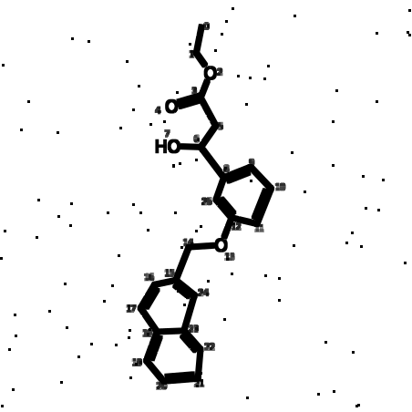 CCOC(=O)CC(O)c1cccc(OCc2ccc3ccccc3c2)c1